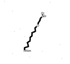 CCCCCCCCCCCCCCCCCCOCCCNCC